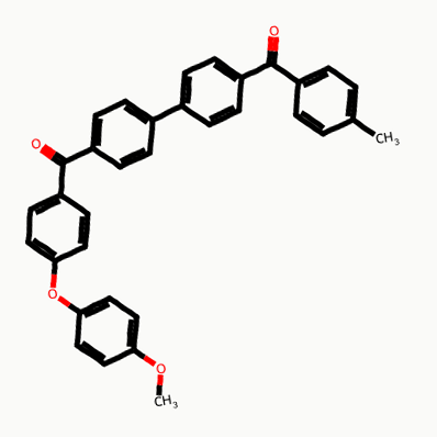 COc1ccc(Oc2ccc(C(=O)c3ccc(-c4ccc(C(=O)c5ccc(C)cc5)cc4)cc3)cc2)cc1